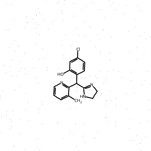 Cc1cccnc1C(C1=NCCN1)c1ccc(Cl)cc1O